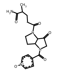 CC(C[CH]C(=O)N1CCC2C1C(=O)CN2C(=O)c1cc[n+]([O-])cc1)C(N)=O